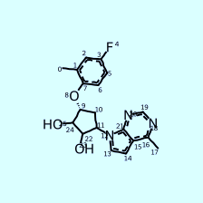 Cc1cc(F)ccc1O[C@@H]1CC(n2ccc3c(C)ncnc32)C(O)C1O